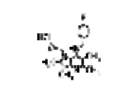 Cc1nc2c(C)c(C)n(CC3CC3)c2c(NCc2ccc(F)cc2)c1C.Cl